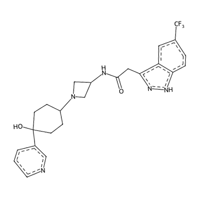 O=C(Cc1n[nH]c2ccc(C(F)(F)F)cc12)NC1CN(C2CCC(O)(c3cccnc3)CC2)C1